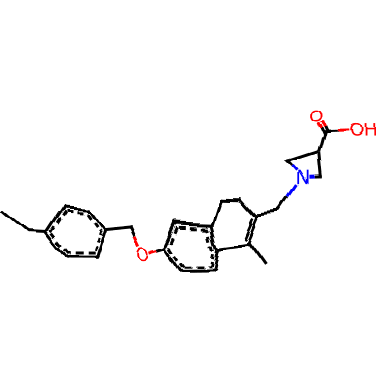 CCc1ccc(COc2ccc3c(c2)CCC(CN2CC(C(=O)O)C2)=C3C)cc1